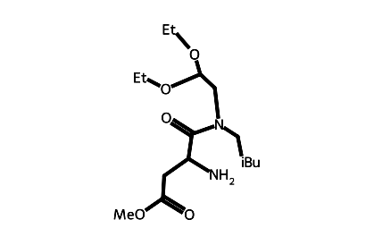 CCOC(CN(CC(C)CC)C(=O)C(N)CC(=O)OC)OCC